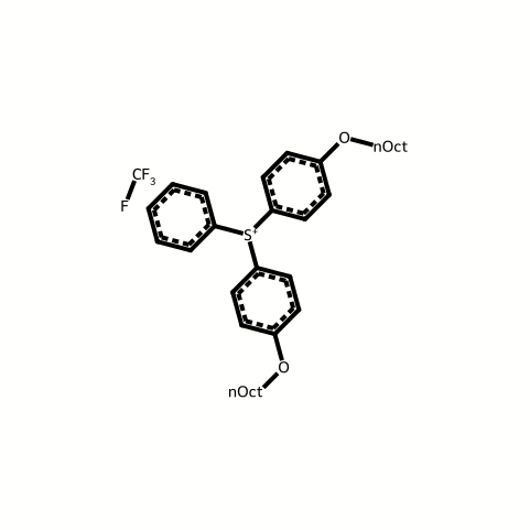 CCCCCCCCOc1ccc([S+](c2ccccc2)c2ccc(OCCCCCCCC)cc2)cc1.FC(F)(F)F